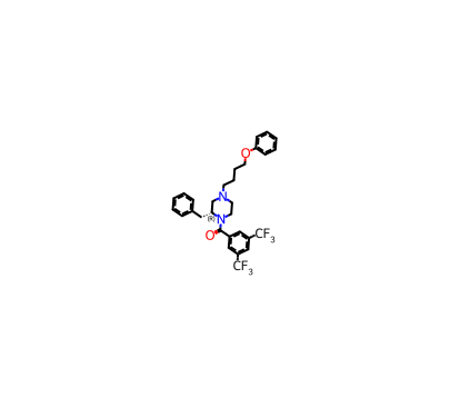 O=C(c1cc(C(F)(F)F)cc(C(F)(F)F)c1)N1CCN(CCCCOc2ccccc2)C[C@H]1Cc1ccccc1